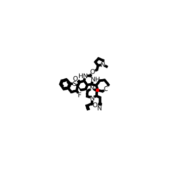 C=CC(=O)N1CCN(C2(C3CCCCCC3)NC(OCC3CCCN3C)NC3C(=O)[C@@]4(CCC32)Sc2ccccc2CC4F)CC1CC#N